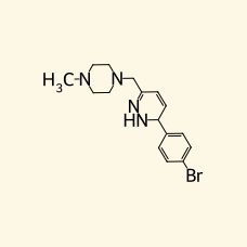 CN1CCN(CC2=NNC(c3ccc(Br)cc3)C=C2)CC1